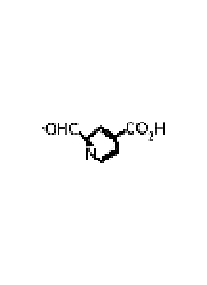 O=[C]c1cc(C(=O)O)ccn1